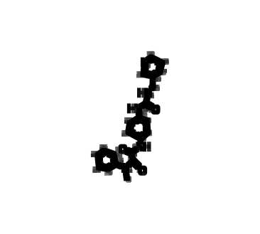 CN(C(=O)C(=O)Nc1ccc(NC(=O)NCc2cccnc2)cc1)c1ccccc1